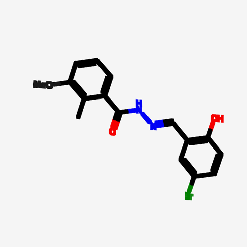 COc1cccc(C(=O)N/N=C/c2cc(Br)ccc2O)c1C